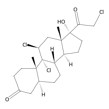 C[C@]12CCC(=O)C[C@@H]1CC[C@H]1[C@@H]3CC[C@](O)(C(=O)CCl)[C@@]3(C)C[C@H](Cl)[C@@]12Cl